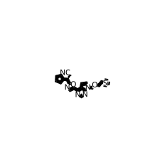 C[Si](C)(C)CCOCn1ccc2c(-c3cnc([C@H](CC#N)C4CCCC4)o3)ncnc21